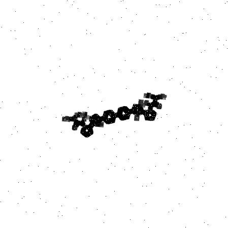 CCCN(CCC)C(=O)[C@H](C)N1CCCC1c1ncc(-c2ccc(-c3ccc(-c4cnc(C5CCCN5[C@@H](C)C(=O)N(CCC)CCC)[nH]4)cc3)cc2)[nH]1